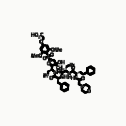 COc1cc(OCC(=O)O)cc(OC)c1S(=O)(=O)OCC(C)(O)C(=O)[C@H](CC(C)C)NC(=O)[C@H](Cc1ccccc1)NC(=O)[C@H](CC(C)C)NC(=O)[C@H](CCc1ccccc1)NC(=O)CN1CCOCC1